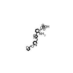 Nc1c(-c2cc(Cc3ccc(OCc4ccco4)nc3)no2)ccc[n+]1COP(=O)([O-])O